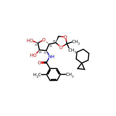 C1CCC2(CC1)CC2.Cc1ccc(C)c(C(=O)N[C@H]2[C@@H](O)[C@@H](O)O[C@@H]2[C@H]2COC(C)(C)O2)c1